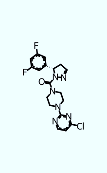 O=C(N1CCN(c2nccc(Cl)n2)CC1)N1N=CC[C@H]1c1cc(F)cc(F)c1